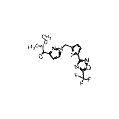 CON(C)C(=O)c1ccn(Cc2ccc(-c3noc(C(F)(F)F)n3)s2)n1